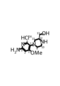 COc1cc(N)ncc1N1CCN[C@H](CO)C1.Cl